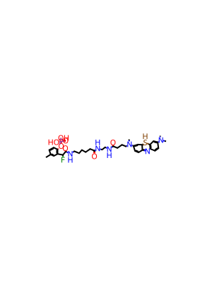 Cc1ccc(OP(=O)(O)O)c(C(F)C(=O)NCCCCCC(=O)NCCNC(=O)CCCN(C)c2ccc3c(c2)=[SH]c2cc(N(C)C)ccc2N=3)c1